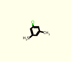 Cc1cc([SiH3])cc(Cl)c1